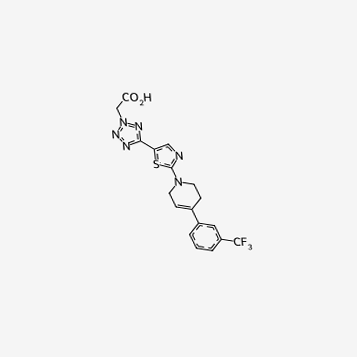 O=C(O)Cn1nnc(-c2cnc(N3CC=C(c4cccc(C(F)(F)F)c4)CC3)s2)n1